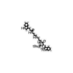 CC(C)(C)OC(=O)N[C@@H](Cc1c[nH]c2ccccc12)C(=O)NCCCNCCCNC(=O)CCc1c[nH]c2ccccc12